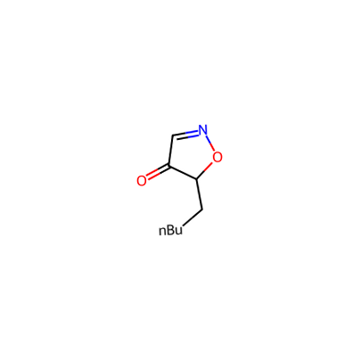 CCCCCC1ON=CC1=O